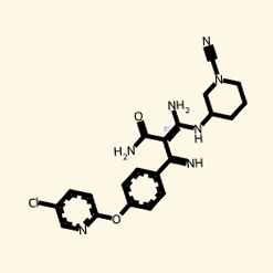 N#CN1CCCC(N/C(N)=C(\C(=N)c2ccc(Oc3ccc(Cl)cn3)cc2)C(N)=O)C1